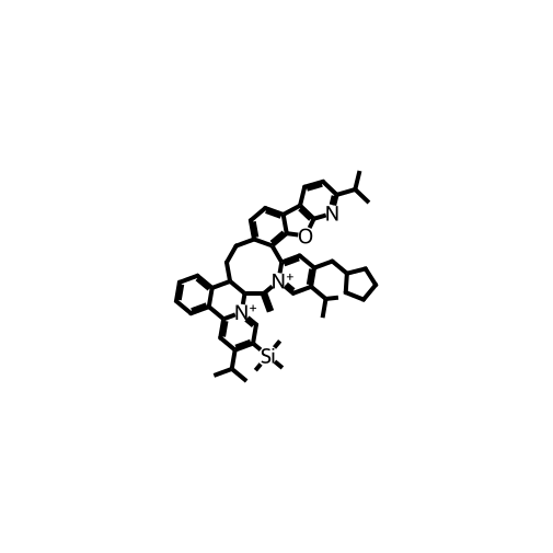 C=C1C2C(CCc3ccc4c(oc5nc(C(C)C)ccc54)c3-c3cc(CC4CCCC4)c(C(C)C)c[n+]31)c1ccccc1-c1cc(C(C)C)c([Si](C)(C)C)c[n+]12